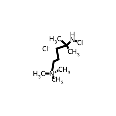 CC(C)(CCC[N+](C)(C)C)NCl.[Cl-]